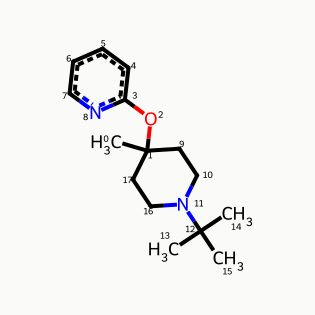 CC1(Oc2ccccn2)CCN(C(C)(C)C)CC1